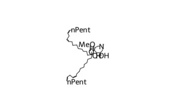 CCCCC/C=C\C/C=C\CCCCCCCCC1(CCCCCCCC/C=C\C/C=C\CCCCC)O[C@@H]2[C@H](O1)[C@@H](OC)CN(C)C[C@H]2O